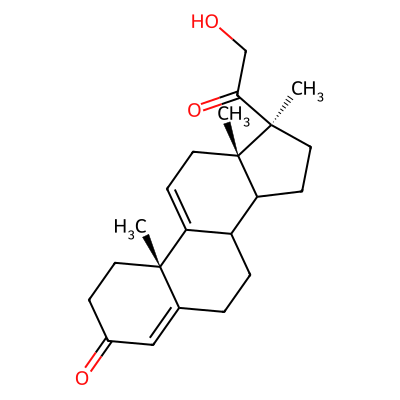 C[C@]12CCC(=O)C=C1CCC1C2=CC[C@@]2(C)C1CC[C@]2(C)C(=O)CO